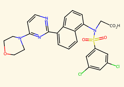 O=C(O)CN(c1cccc2c(-c3nccc(N4CCOCC4)n3)cccc12)S(=O)(=O)c1cc(Cl)cc(Cl)c1